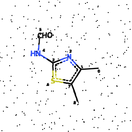 Cc1nc(N[C]=O)sc1C